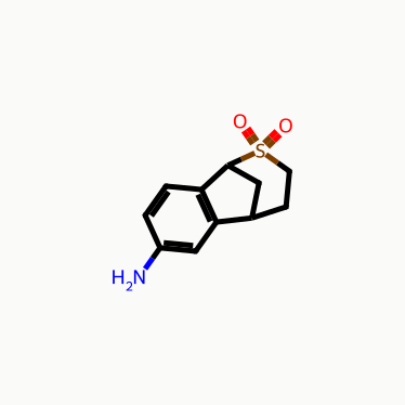 Nc1ccc2c(c1)C1CCS(=O)(=O)C2C1